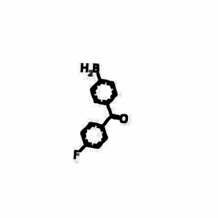 Bc1ccc(C(=O)c2ccc(F)cc2)cc1